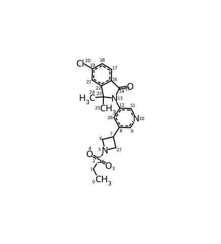 CCS(=O)(=O)N1CC(c2cncc(N3C(=O)c4ccc(Cl)cc4C3(C)C)c2)C1